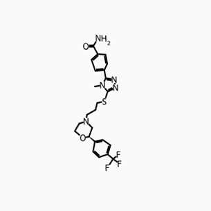 Cn1c(SCCCN2CCO[C@H](c3ccc(C(F)(F)F)cc3)C2)nnc1-c1ccc(C(N)=O)cc1